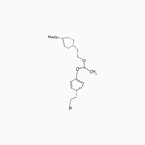 COC1CCC(CCOC(C)Oc2ccc(CCC(C)C)cc2)CC1